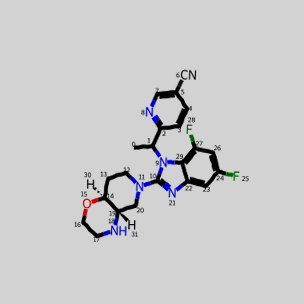 CC(c1ccc(C#N)cn1)n1c(N2CC[C@@H]3OCCN[C@H]3C2)nc2cc(F)cc(F)c21